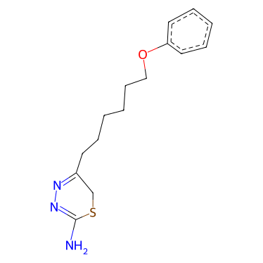 NC1=NN=C(CCCCCCOc2ccccc2)CS1